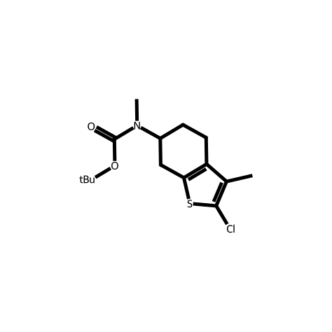 Cc1c(Cl)sc2c1CCC(N(C)C(=O)OC(C)(C)C)C2